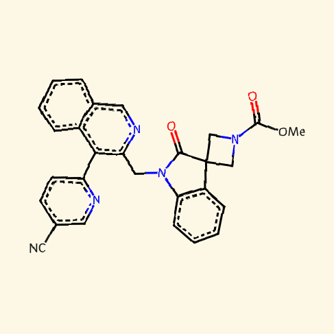 COC(=O)N1CC2(C1)C(=O)N(Cc1ncc3ccccc3c1-c1ccc(C#N)cn1)c1ccccc12